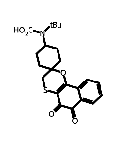 CC(C)(C)N(C(=O)O)C1CCC2(CC1)CSC1=C(O2)c2ccccc2C(=O)C1=O